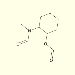 CN(C=O)C1CCCCC1OC=O